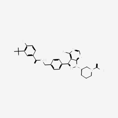 Nc1ncnc2c1c(-c1ccc(CNC(=O)c3ccc(F)c(C(F)(F)F)c3)cc1)nn2[C@@H]1CCCN(C(=O)O)C1